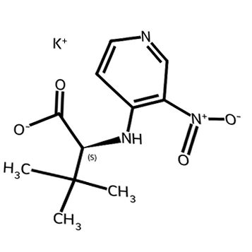 CC(C)(C)[C@H](Nc1ccncc1[N+](=O)[O-])C(=O)[O-].[K+]